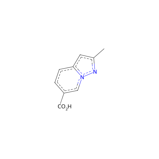 Cc1cc2ccc(C(=O)O)cn2n1